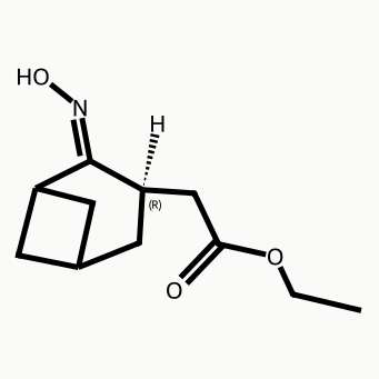 CCOC(=O)C[C@H]1CC2CC(C2)C1=NO